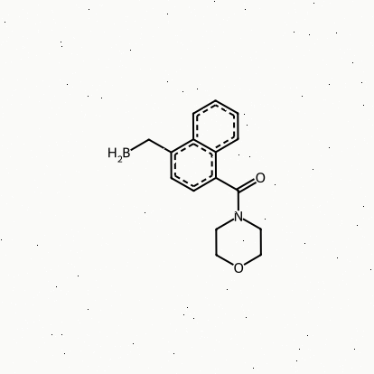 BCc1ccc(C(=O)N2CCOCC2)c2ccccc12